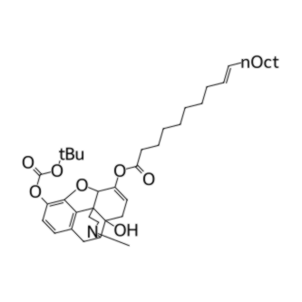 CCCCCCCCC=CCCCCCCCC(=O)OC1=CCC2(O)C3Cc4ccc(OC(=O)OC(C)(C)C)c5c4C2(CCN3C)C1O5